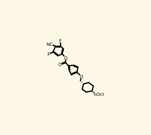 CCCCCCCC[C@H]1CC[C@H](COc2ccc(C(=O)Oc3cc(F)c(C#N)c(F)c3)cc2)CC1